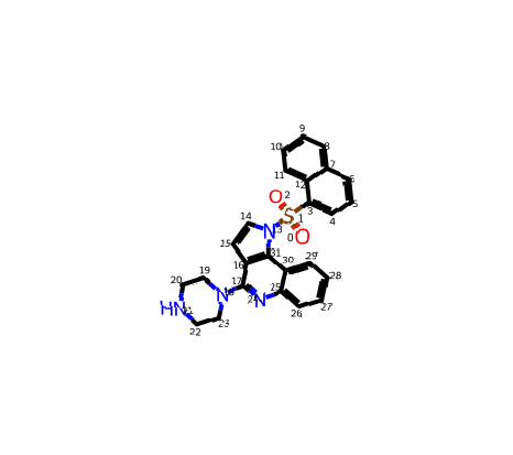 O=S(=O)(c1cccc2ccccc12)n1ccc2c(N3CCNCC3)nc3ccccc3c21